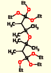 CCO[Si](OCC)(OCC)C(C)[Si](C)(C)O[Si](C)(C)C(C)[Si](OCC)(OCC)OCC